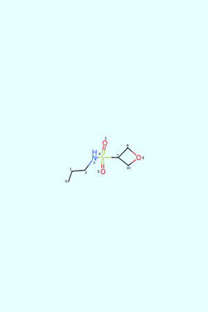 CCCNS(=O)(=O)C1COC1